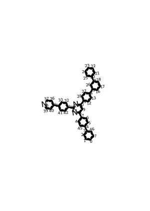 c1ccc(-c2ccc(-c3cc(-c4ccc(-c5cccc(-c6ccccc6)c5)cc4)nc(-c4ccc(-c5ccncc5)cc4)n3)cc2)cc1